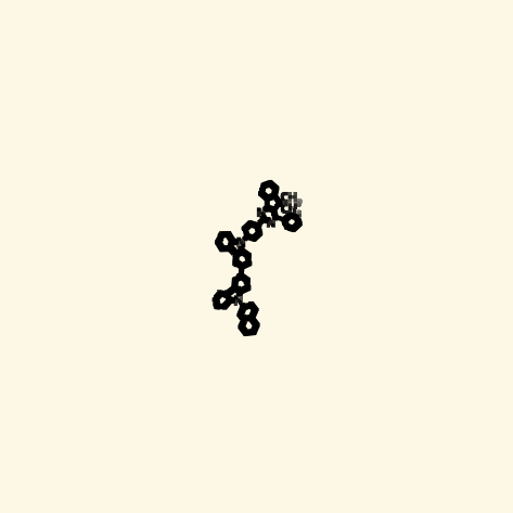 CC1(C)c2ccccc2-c2nc(-c3ccc(-n4c5ccccc5c5cc(-c6ccc7c(c6)c6ccccc6n7-c6ccc7ccccc7c6)ccc54)cc3)nc(-c3ccccc3)c21